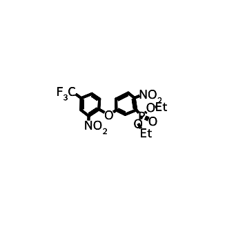 CCOP(=O)(OCC)c1cc(Oc2ccc(C(F)(F)F)cc2[N+](=O)[O-])ccc1[N+](=O)[O-]